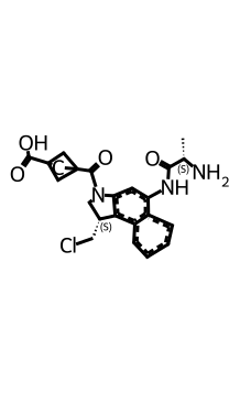 C[C@H](N)C(=O)Nc1cc2c(c3ccccc13)[C@H](CCl)CN2C(=O)C12CC(C(=O)O)(C1)C2